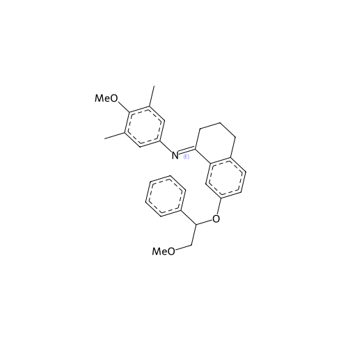 COCC(Oc1ccc2c(c1)/C(=N/c1cc(C)c(OC)c(C)c1)CCC2)c1ccccc1